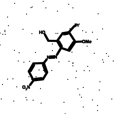 COc1cc(N=Nc2ccc([N+](=O)[O-])cc2)c(CO)cc1C(C)C